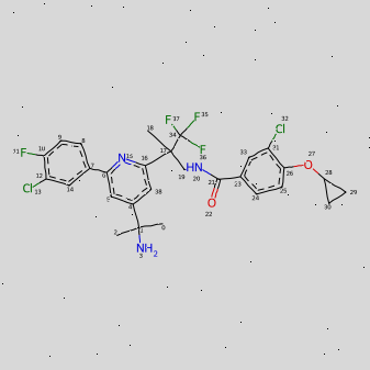 CC(C)(N)c1cc(-c2ccc(F)c(Cl)c2)nc(C(C)(CNC(=O)c2ccc(OC3CC3)c(Cl)c2)C(F)(F)F)c1